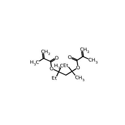 C=C(C)C(=O)OC(C)(CC)CC(C)(CC)OC(=O)C(=C)C